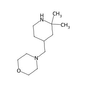 CC1(C)CC(CN2CCOCC2)CCN1